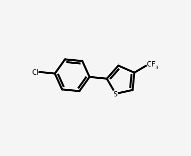 FC(F)(F)c1[c]c(-c2ccc(Cl)cc2)sc1